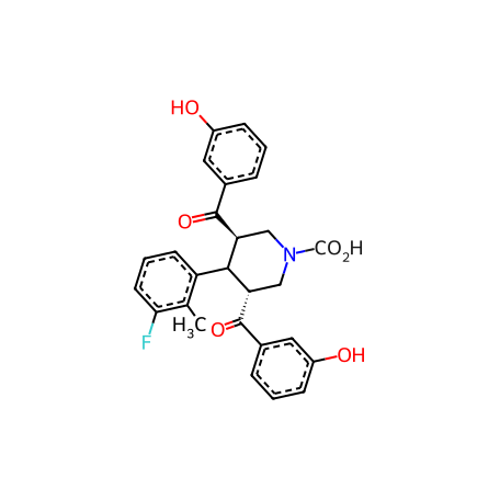 Cc1c(F)cccc1C1[C@@H](C(=O)c2cccc(O)c2)CN(C(=O)O)C[C@@H]1C(=O)c1cccc(O)c1